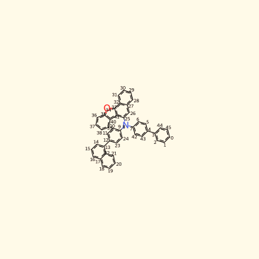 c1ccc(-c2ccc(N(c3ccc(-c4cccc5ccccc45)cc3)c3cc4ccccc4c4oc5ccccc5c34)cc2)cc1